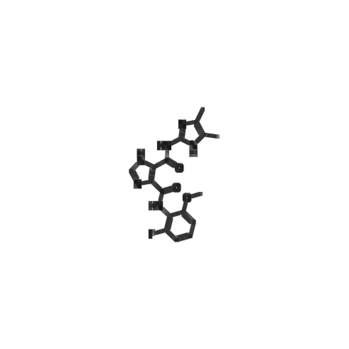 COc1cccc(F)c1NC(=O)c1nc[nH]c1C(=O)Nc1nc(C)c(C)[nH]1